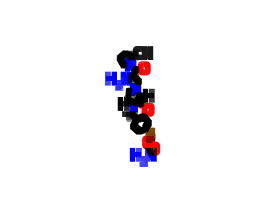 C[C@H](c1ccc(SOON)cc1)N1C(=O)[C@@H]2C[C@H]1CN2C[C@H](N)C(=O)N1CCC[C@H]1C#N